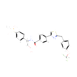 CCS(=O)(=O)c1ccc([C@H](CO)NC(=O)c2ccc(-c3csc(Cc4ccc(OC(F)F)cc4)n3)cc2)cc1